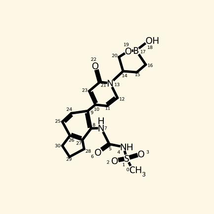 CS(=O)(=O)NC(=O)Nc1c(-c2ccn(C3CCB(O)OC3)c(=O)c2)ccc2c1CCC2